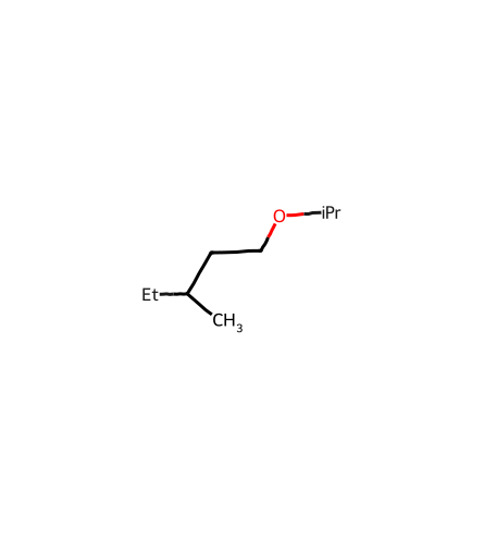 CCC(C)CCOC(C)C